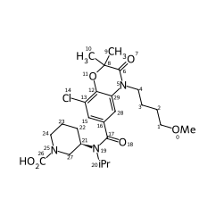 COCCCCN1C(=O)C(C)(C)Oc2c(Cl)cc(C(=O)N(C(C)C)[C@@H]3CCCN(C(=O)O)C3)cc21